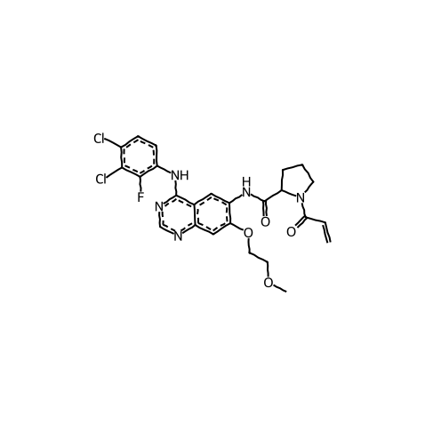 C=CC(=O)N1CCCC1C(=O)Nc1cc2c(Nc3ccc(Cl)c(Cl)c3F)ncnc2cc1OCCOC